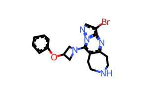 Brc1cnn2c(N3CC(Oc4ccccc4)C3)c3c(nc12)CCNCC3